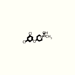 CB(O)N1CCC(Oc2cc(Cl)cc(Cl)c2)CC1